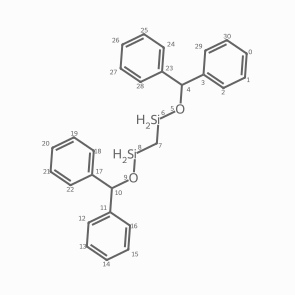 c1ccc(C(O[SiH2]C[SiH2]OC(c2ccccc2)c2ccccc2)c2ccccc2)cc1